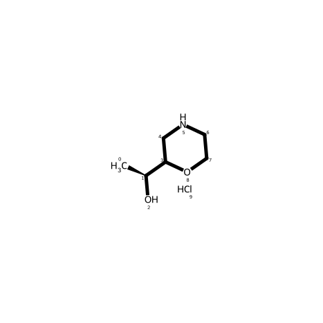 C[C@H](O)C1CNCCO1.Cl